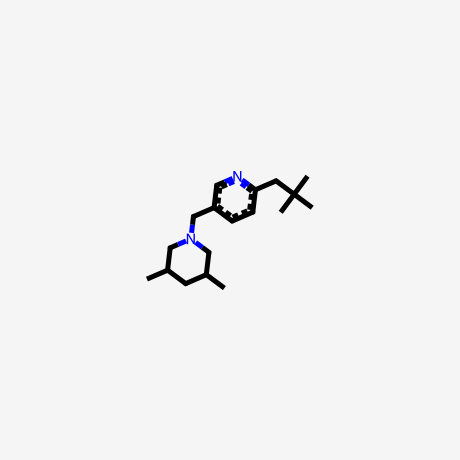 CC1CC(C)CN(Cc2ccc(CC(C)(C)C)nc2)C1